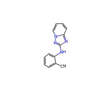 N#Cc1ccccc1Nc1nc2ccccn2n1